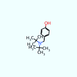 CC(C)(C)N(Cc1ccc(O)cc1)C(C)(C)C